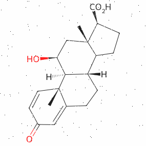 C[C@]12C=CC(=O)C=C1CC[C@H]1C3CC[C@H](C(=O)O)[C@@]3(C)C[C@H](O)[C@@H]12